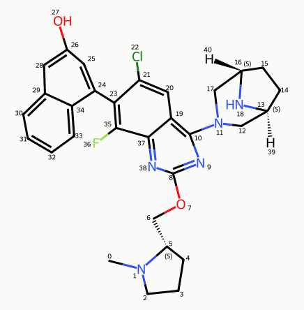 CN1CCC[C@H]1COc1nc(N2C[C@@H]3CC[C@@H](C2)N3)c2cc(Cl)c(-c3cc(O)cc4ccccc34)c(F)c2n1